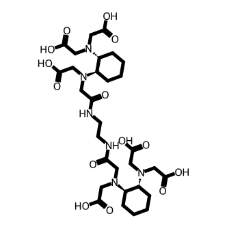 O=C(O)CN(CC(=O)O)[C@@H]1CCCC[C@H]1N(CC(=O)O)CC(=O)NCCNC(=O)CN(CC(=O)O)[C@@H]1CCCC[C@H]1N(CC(=O)O)CC(=O)O